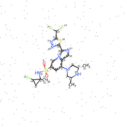 C[C@H]1CN(c2cc(S(=O)(=O)NC3(C)CC3F)cn3c(-c4nnc(C(F)F)s4)ncc23)C[C@H](C)N1